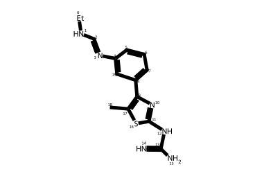 CCN/C=N/c1cccc(-c2nc(NC(=N)N)sc2C)c1